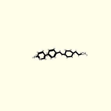 CCCC1CCC(CCc2ccc(-c3ccc(F)nc3)cc2)CC1